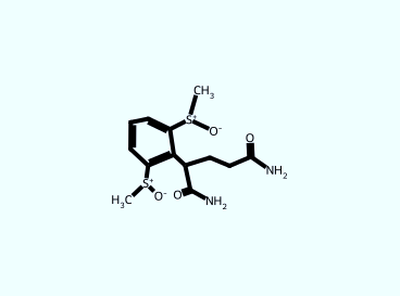 C[S+]([O-])c1cccc([S+](C)[O-])c1C(CCC(N)=O)C(N)=O